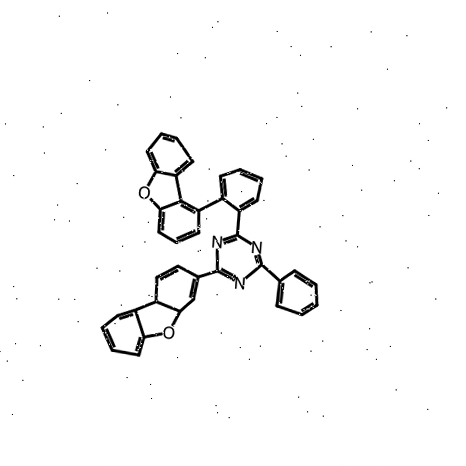 C1=CC2c3ccccc3OC2C=C1c1nc(-c2ccccc2)nc(-c2ccccc2-c2cccc3oc4ccccc4c23)n1